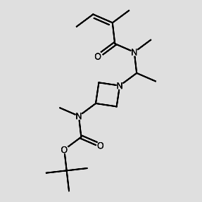 C/C=C(/C)C(=O)N(C)C(C)N1CC(N(C)C(=O)OC(C)(C)C)C1